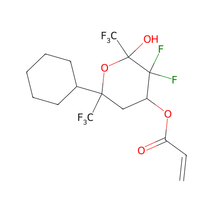 C=CC(=O)OC1CC(C2CCCCC2)(C(F)(F)F)OC(O)(C(F)(F)F)C1(F)F